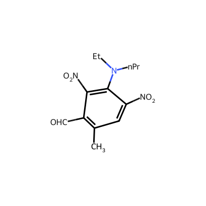 CCCN(CC)c1c([N+](=O)[O-])cc(C)c(C=O)c1[N+](=O)[O-]